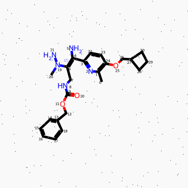 Cc1nc(/C(N)=C(\CNC(=O)OCc2ccccc2)N(C)N)ccc1OCC1CCC1